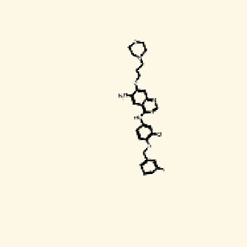 Nc1cc2c(Nc3ccc(OCc4cccc(F)c4)c(Cl)c3)ncnc2cc1OCCCN1CCOCC1